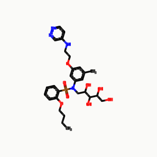 CCCCOc1ccccc1S(=O)(=O)N(CC(O)C(O)C(O)CO)c1cc(C)cc(OCCNc2ccnnc2)c1